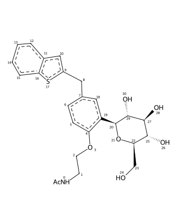 CC(=O)NCCOc1ccc(Cc2cc3ccccc3s2)cc1[C@@H]1O[C@H](CO)[C@@H](O)[C@H](O)[C@H]1O